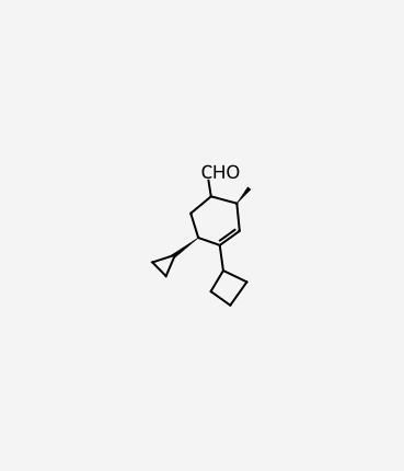 C[C@H]1C=C(C2CCC2)[C@@H](C2CC2)CC1C=O